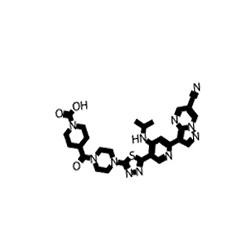 CC(C)Nc1cc(-c2cnn3cc(C#N)cnc23)ncc1-c1nnc(N2CCN(C(=O)C3CCN(C(=O)O)CC3)CC2)s1